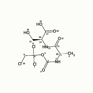 C[C@H](NC(=O)OC(Cl)(Cl)CCl)C(=O)N[C@@H](CO)C(=O)O